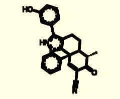 C[C@@H]1C(=O)C(C#N)=C[C@]2(c3ccccc3)c3n[nH]c(-c4cccc(O)c4)c3CCC12